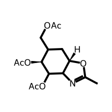 CC(=O)OCC1C[C@@H]2OC(C)=NC2C(OC(C)=O)[C@H]1OC(C)=O